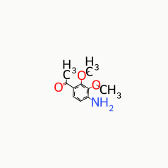 COc1c(N)ccc(C(C)=O)c1OC